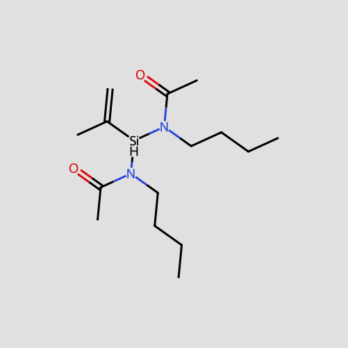 C=C(C)[SiH](N(CCCC)C(C)=O)N(CCCC)C(C)=O